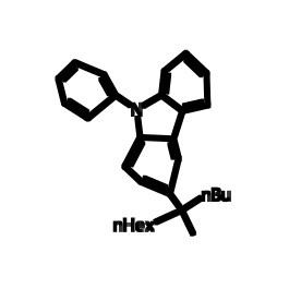 CCCCCCC(C)(CCCC)c1ccc2c(c1)c1ccccc1n2-c1ccccc1